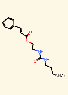 CC(=O)NCCCNC(=O)NCCOC(=O)/C=C/c1ccccc1